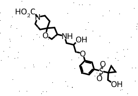 O=C(O)N1CCC2(CC1)CC(NCC(O)COc1cccc(S(=O)(=O)C3(CO)CC3)c1)CO2